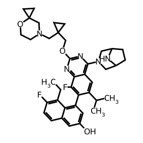 CCc1c(F)ccc2cc(O)cc(-c3c(C(C)C)cc4c(N5CC6CCC(C5)N6)nc(OCC5(CN6CCOC7(CC7)C6)CC5)nc4c3F)c12